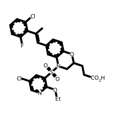 CCOc1ncc(Cl)cc1S(=O)(=O)N1CC(CCC(=O)O)Oc2ccc(C=C(C)c3c(F)cccc3Cl)cc21